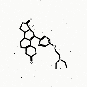 CCN(CC)CCOc1ccc(C2=C3C4=C(CCC3C3CCC(=O)[C@@]3(C)C2)CC(=O)CC4)cc1